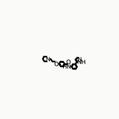 O=C(Nc1cccc(-c2ccn[nH]2)c1)c1ccc(OCCCN2CCCCC2)cc1